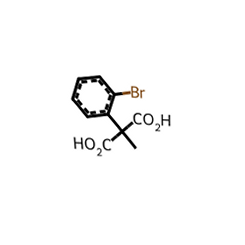 CC(C(=O)O)(C(=O)O)c1ccccc1Br